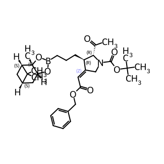 CC(=O)[C@H]1[C@H](CCCB2O[C@@H]3C[C@@H]4C[C@@H](C4(C)C)[C@]3(C)O2)/C(=C/C(=O)OCc2ccccc2)CN1C(=O)OC(C)(C)C